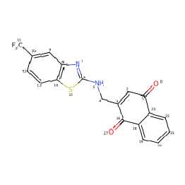 O=C1C=C(CNc2nc3cc(C(F)(F)F)ccc3s2)C(=O)c2ccccc21